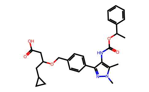 Cc1c(NC(=O)OC(C)c2ccccc2)c(-c2ccc(COC(CC(=O)O)CC3CC3)cc2)nn1C